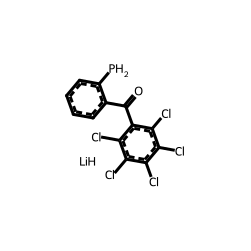 O=C(c1ccccc1P)c1c(Cl)c(Cl)c(Cl)c(Cl)c1Cl.[LiH]